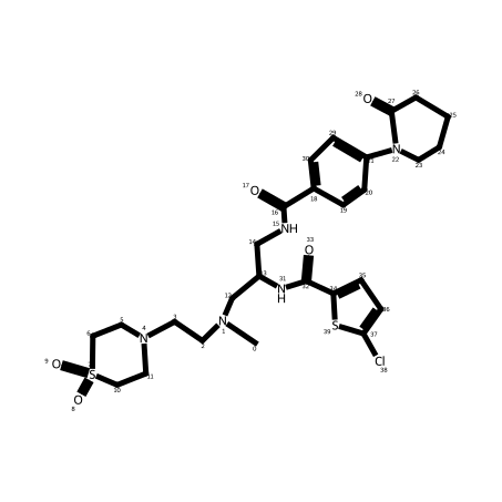 CN(CCN1CCS(=O)(=O)CC1)CC(CNC(=O)c1ccc(N2CCCCC2=O)cc1)NC(=O)c1ccc(Cl)s1